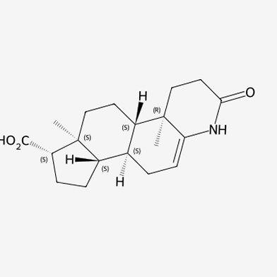 C[C@]12CC[C@H]3[C@@H](CC=C4NC(=O)CC[C@@]43C)[C@@H]1CC[C@@H]2C(=O)O